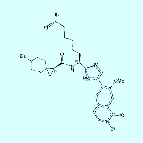 CCC(=O)CCCCC[C@H](NC(=O)[C@H]1CC12CCN(CC)CC2)c1ncc(-c2cc3ccn(CC)c(=O)c3cc2OC)[nH]1